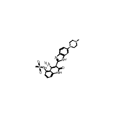 CN1CCN(c2ccc3nc(-c4c(N)c5c(NS(C)(=O)=O)cccc5[nH]c4=O)[nH]c3c2)CC1